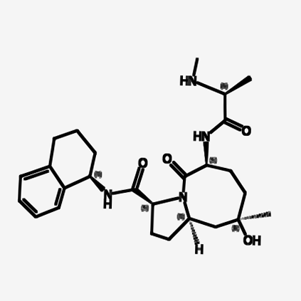 CN[C@@H](C)C(=O)N[C@H]1CC[C@@](C)(O)C[C@H]2CC[C@@H](C(=O)N[C@@H]3CCCc4ccccc43)N2C1=O